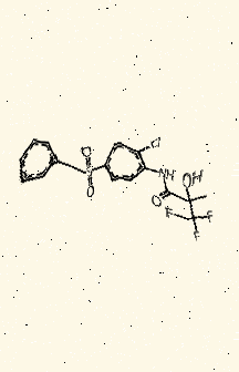 CC(O)(C(=O)Nc1ccc(S(=O)(=O)c2ccccc2)cc1Cl)C(F)(F)F